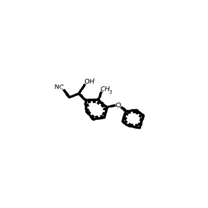 Cc1c(Oc2ccccc2)cccc1C(O)CC#N